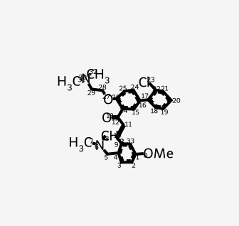 COc1ccc(CN(C)C)c(C=CC(=O)c2cc(-c3ccccc3Cl)ccc2OCCN(C)C)c1